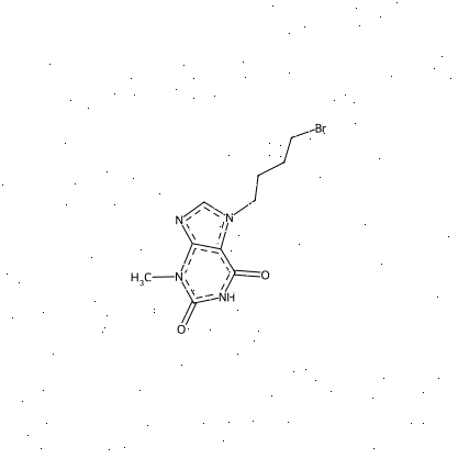 Cn1c(=O)[nH]c(=O)c2c1ncn2CCCCBr